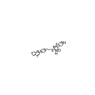 Cc1cc(N2CCN(CCCSc3nc4sc5c(c4c(=O)[nH]3)CCNC5)CC2)nc2ccccc12